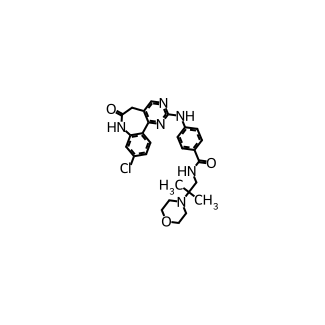 CC(C)(CNC(=O)c1ccc(Nc2ncc3c(n2)-c2ccc(Cl)cc2NC(=O)C3)cc1)N1CCOCC1